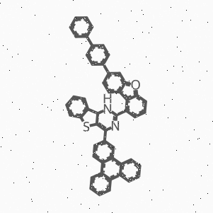 c1ccc(-c2ccc(-c3ccc4c(c3)oc3cccc(C5=NC(c6ccc7c8ccccc8c8ccccc8c7c6)=C6Sc7ccccc7C6N5)c34)cc2)cc1